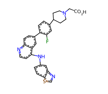 O=C(O)CN1CCC(c2ccc(-c3ccc4nccc(Nc5ccc6scnc6c5)c4c3)c(F)c2)CC1